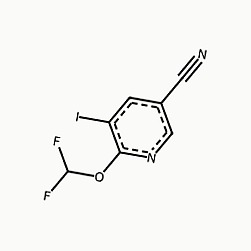 N#Cc1cnc(OC(F)F)c(I)c1